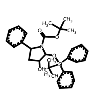 CC(C)(C)OC(=O)N1C(c2ccccc2)CC(O)C1O[Si](c1ccccc1)(c1ccccc1)C(C)(C)C